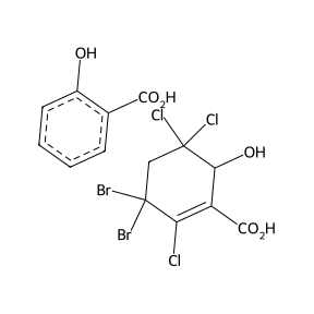 O=C(O)C1=C(Cl)C(Br)(Br)CC(Cl)(Cl)C1O.O=C(O)c1ccccc1O